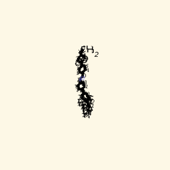 C=CC1COC(C2CCC(/C=C/C3CCC(c4cc(F)c(C(F)(F)OC(F)(F)F)c(F)c4)CC3)CC2)OC1